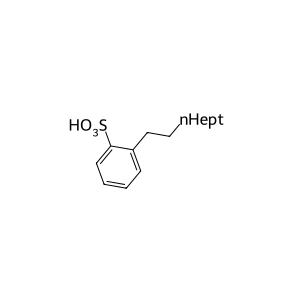 CCCCCCCCCc1ccccc1S(=O)(=O)O